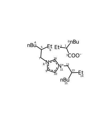 CCCCC(CC)C(=O)[O-].CCCCC(CC)Cn1cc[n+](CC(CC)CCCC)c1